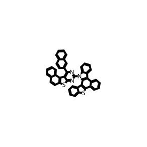 c1ccc2cc(-c3nc(-n4c5ccccc5c5c6ccccc6c6sc7ccccc7c6c54)nc4sc5ccc6ccccc6c5c34)ccc2c1